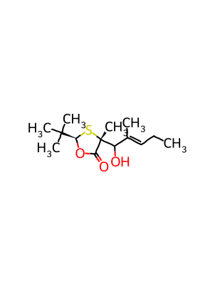 CC/C=C(\C)C(O)[C@@]1(C)S[C@H](C(C)(C)C)OC1=O